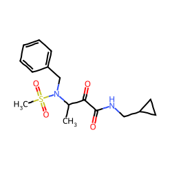 CC(C(=O)C(=O)NCC1CC1)N(Cc1ccccc1)S(C)(=O)=O